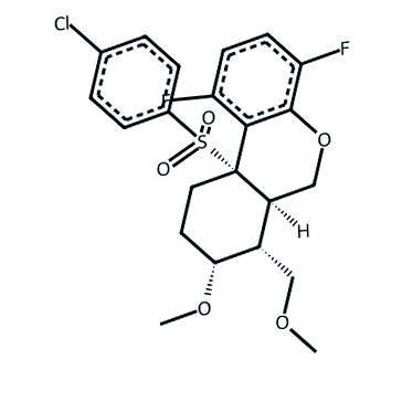 COC[C@@H]1[C@H](OC)CC[C@@]2(S(=O)(=O)c3ccc(Cl)cc3)c3c(F)ccc(F)c3OC[C@@H]12